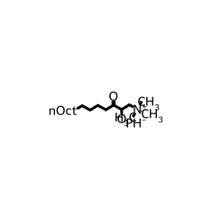 CCCCCCCCCCCCC(=O)C(C[N+](C)(C)C)O[PH-]